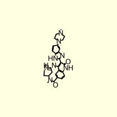 CN1CCC(N(C)C(=O)c2ccc3[nH]c(=O)c(-c4nc5cc(N6CCN(C)CC6)ccc5[nH]4)c(N)c3c2)CC1